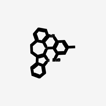 COc1cc(C)cc(OC)c1N1c2ccccc2CCc2c1oc1ccccc21